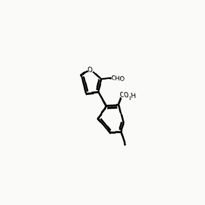 Cc1ccc(-c2ccoc2C=O)c(C(=O)O)c1